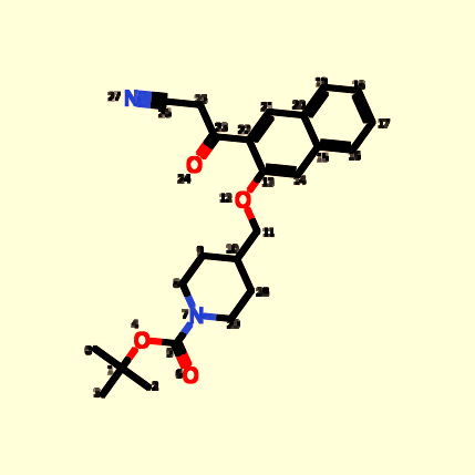 CC(C)(C)OC(=O)N1CCC(COc2cc3ccccc3cc2C(=O)CC#N)CC1